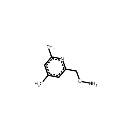 Cc1cc(C)nc(CON)c1